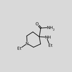 CCNC1(C(N)=O)CCN(CC)CC1